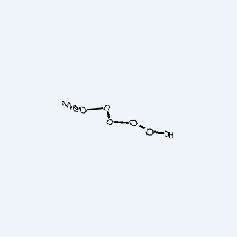 COOOOOO